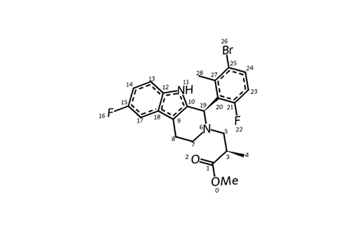 COC(=O)[C@H](C)CN1CCc2c([nH]c3ccc(F)cc23)[C@H]1c1c(F)ccc(Br)c1C